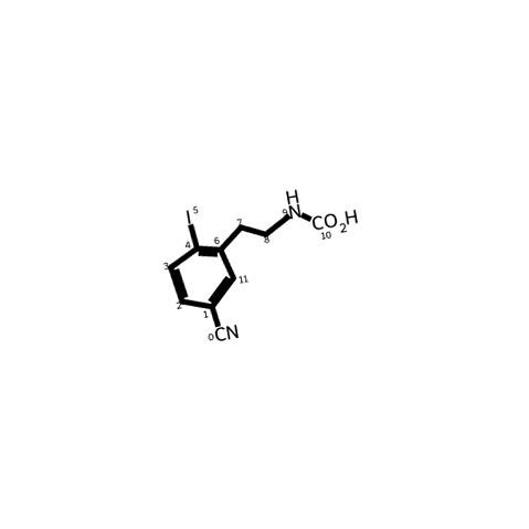 N#Cc1ccc(I)c(CCNC(=O)O)c1